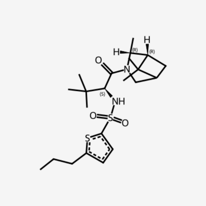 CCCc1ccc(S(=O)(=O)N[C@H](C(=O)N2CC3C[C@@H]([C@H]2C)C3(C)C)C(C)(C)C)s1